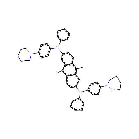 Cc1c2ccc(N(c3ccccc3)c3ccc(N4CCCCC4)cc3)cc2c(C)c2ccc(N(c3ccccc3)c3ccc(N4CCCCC4)cc3)cc12